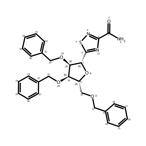 NC(=O)c1nsc([C@@H]2O[C@H](COCc3ccccc3)[C@@H](OCc3ccccc3)[C@H]2OCc2ccccc2)n1